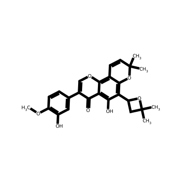 COc1ccc(-c2coc3c4c(c(C5CC(C)(C)O5)c(O)c3c2=O)OC(C)(C)C=C4)cc1O